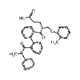 Cc1ccccc1CCN(CCC(=O)O)C(=O)c1ccccc1-c1ccccc1C(=O)N(C)c1cccnc1